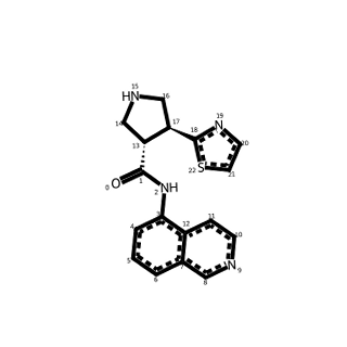 O=C(Nc1cccc2cnccc12)[C@@H]1CNC[C@H]1c1nccs1